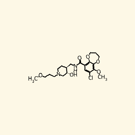 COCCCN1CC[C@@H](CNC(=O)c2cc(Cl)c(OC)c3c2OCCCO3)[C@H](O)C1